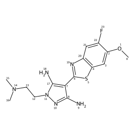 COc1cc2sc(-c3c(N)nn(CCN(C)C)c3N)nc2cc1F